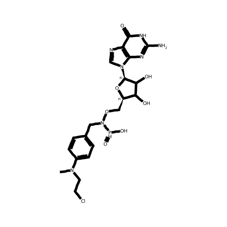 CN(CCCl)c1ccc(CN(OC[C@H]2O[C@@H](n3cnc4c(=O)[nH]c(N)nc43)C(O)C2O)[PH](=O)O)cc1